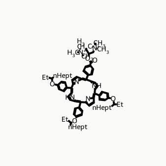 CCCCCCCC(CC)Oc1ccc(-c2c3nc(c(-c4ccc(OC(CC)CCCCCCC)cc4)c4ccc([nH]4)c(-c4ccc(C(=O)OC(C[N+](C)(C)C)C[N+](C)(C)C)cc4)c4nc(c(-c5ccc(OC(CC)CCCCCCC)cc5)c5ccc2[nH]5)C=C4)C=C3)cc1